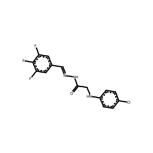 O=C(CNc1ccc(Cl)cc1)NN=Cc1cc(F)c(F)c(F)c1